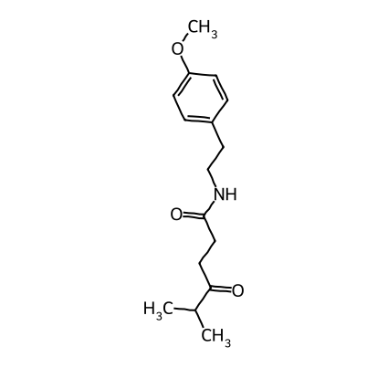 COc1ccc(CCNC(=O)CCC(=O)C(C)C)cc1